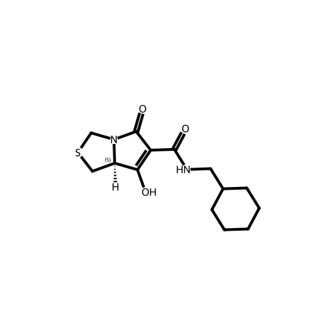 O=C(NCC1CCCCC1)C1=C(O)[C@H]2CSCN2C1=O